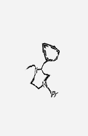 CC(C)N1CCN(C)C(c2ccccc2)C1